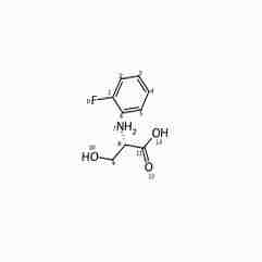 Fc1ccccc1.N[C@@H](CO)C(=O)O